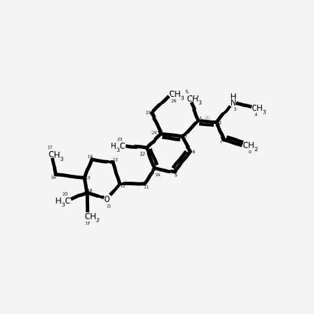 C=C/C(NC)=C(/C)c1ccc(CC2CCC(CC)C(C)(C)O2)c(C)c1CC